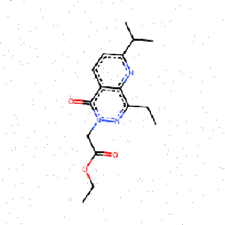 CCOC(=O)Cn1nc(CC)c2nc(C(C)C)ccc2c1=O